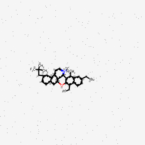 Cc1c2c(c(CC(C)C)c3ccc(CC(C)(C)C)cc13)Oc1cc3ccc(CC(C)(C)C(F)(F)F)cc3c3cc[n+](C)c-2c13